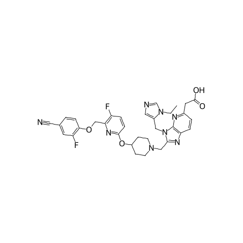 CCn1cncc1Cn1c(CN2CCC(Oc3ccc(F)c(COc4ccc(C#N)cc4F)n3)CC2)nc2ccc(CC(=O)O)nc21